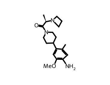 COc1cc(C2CCN(C(=O)[C@@H](C)N3CCC3)CC2)c(C)cc1N